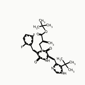 C=C(Cn1c(=O)/c(=C/c2nc[nH]c2C(C)(C)C)[nH]c(=O)/c1=C/c1cc(F)ccc1F)C(=O)OC(C)(C)C